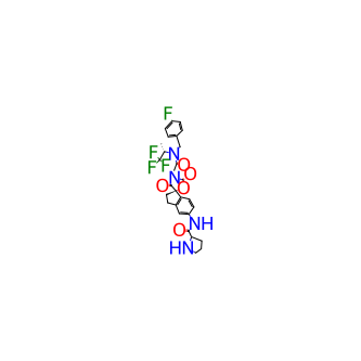 C[C@H](N(Cc1ccc(F)cc1)C(=O)CN1C(=O)O[C@@]2(CCc3cc(NC(=O)C4CCCN4)ccc32)C1=O)C(F)(F)F